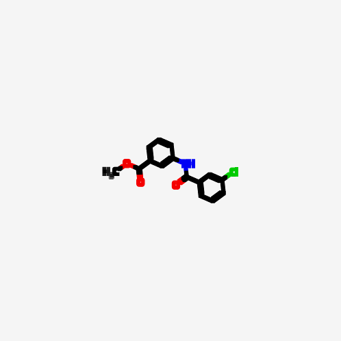 COC(=O)c1cccc(NC(=O)c2cccc(Cl)c2)c1